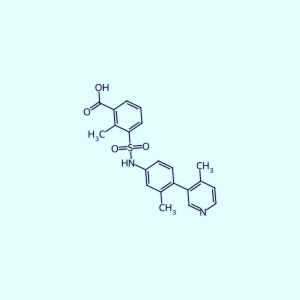 Cc1cc(NS(=O)(=O)c2cccc(C(=O)O)c2C)ccc1-c1cnccc1C